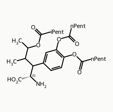 CCCCCC(=O)Oc1ccc(C(C(C)C(C)OC(=O)C(C)CCC)[C@H](N)C(=O)O)cc1OC(=O)CCCCC